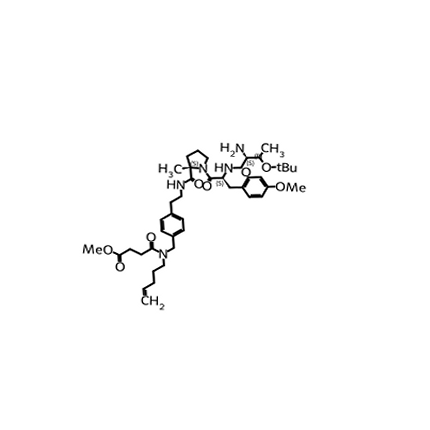 C=CCCCN(Cc1ccc(CCNC(=O)[C@]2(C)CCCN2C(=O)[C@H](Cc2ccc(OC)cc2)NC(=O)[C@@H](N)[C@@H](C)OC(C)(C)C)cc1)C(=O)CCC(=O)OC